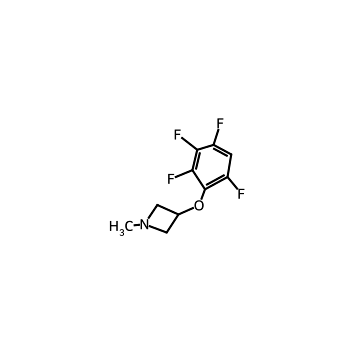 CN1CC(Oc2c(F)cc(F)c(F)c2F)C1